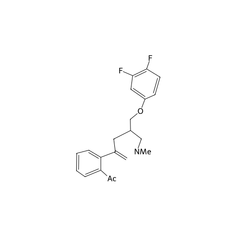 C=C(CC(CNC)COc1ccc(F)c(F)c1)c1ccccc1C(C)=O